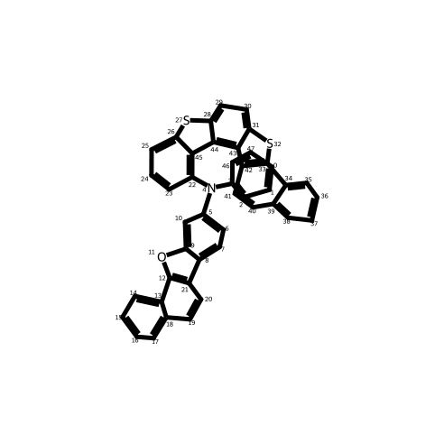 c1ccc(N(c2ccc3c(c2)oc2c4ccccc4ccc32)c2cccc3sc4ccc5sc6c7ccccc7ccc6c5c4c23)cc1